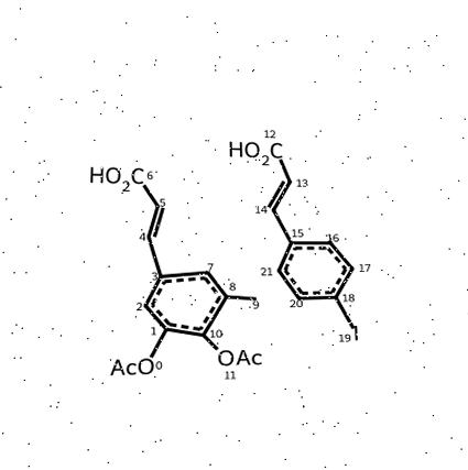 CC(=O)Oc1cc(/C=C/C(=O)O)cc(C)c1OC(C)=O.O=C(O)/C=C/c1ccc(I)cc1